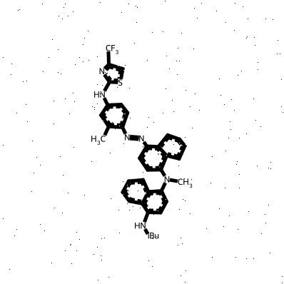 CCC(C)Nc1ccc(N(C)c2ccc(/N=N/c3ccc(Nc4nc(C(F)(F)F)cs4)cc3C)c3ccccc23)c2ccccc12